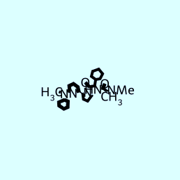 CN[C@@H](C)C(=O)N[C@H](C(=O)N1CCC[C@H]1c1cccc(N(C)c2ccccc2)n1)C1CCCCC1